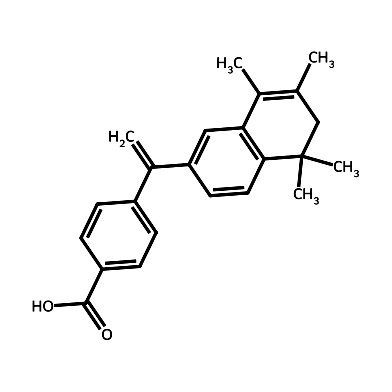 C=C(c1ccc(C(=O)O)cc1)c1ccc2c(c1)C(C)=C(C)CC2(C)C